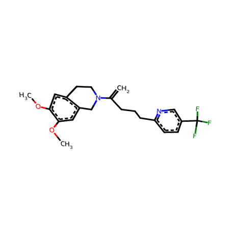 C=C(CCCc1ccc(C(F)(F)F)cn1)N1CCc2cc(OC)c(OC)cc2C1